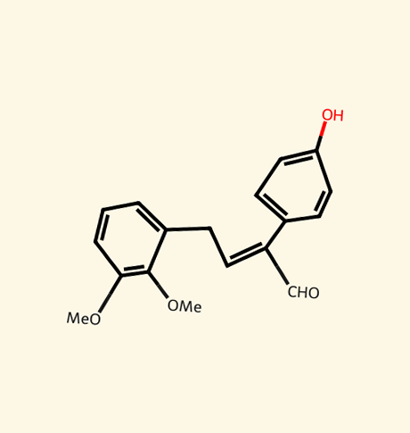 COc1cccc(CC=C(C=O)c2ccc(O)cc2)c1OC